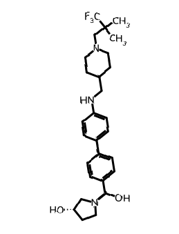 CC(C)(CN1CCC(CNc2ccc(-c3ccc(C(O)N4CC[C@H](O)C4)cc3)cc2)CC1)C(F)(F)F